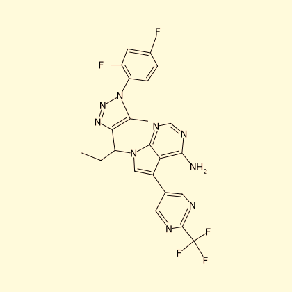 CCC(c1nnn(-c2ccc(F)cc2F)c1C)n1cc(-c2cnc(C(F)(F)F)nc2)c2c(N)ncnc21